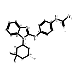 C[C@H]1CC(n2c(Nc3ccc(NC(=O)C(F)(F)F)cc3)nc3ccccc32)CC(C)(C)C1